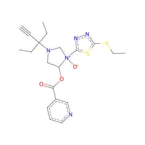 C#CC(CC)(CC)N1CC(OC(=O)c2cccnc2)[N+]([O-])(c2nnc(SCC)s2)C1